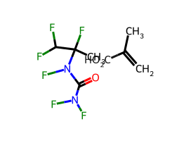 C=C(C)C(=O)O.CC(F)(C(F)F)N(F)C(=O)N(F)F